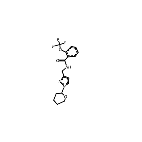 O=C(NCc1ccn(C2CCCCO2)n1)c1ccccc1OC(F)(F)F